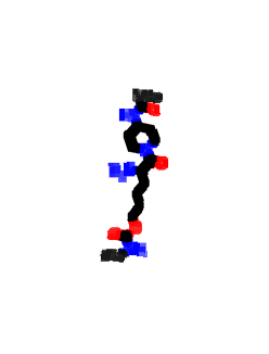 CNC(=O)NC1CCN(C(=O)[C@H](N)CCCCOC(=O)NC(C)(C)C)CC1